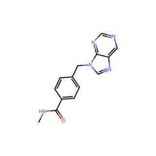 CNC(=O)c1ccc(Cn2cnc3cncnc32)cc1